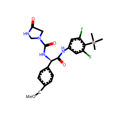 COCc1ccc([C@@H](NC(=O)N2CNC(=O)C2)C(=O)Nc2cc(F)c([Si](C)(C)C)c(F)c2)cc1